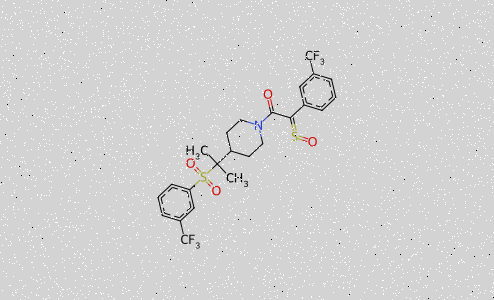 CC(C)(C1CCN(C(=O)C(=S=O)c2cccc(C(F)(F)F)c2)CC1)S(=O)(=O)c1cccc(C(F)(F)F)c1